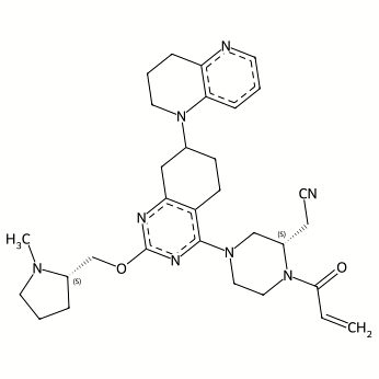 C=CC(=O)N1CCN(c2nc(OC[C@@H]3CCCN3C)nc3c2CCC(N2CCCc4ncccc42)C3)C[C@@H]1CC#N